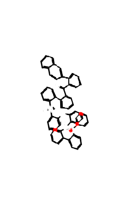 O=C(c1ccccc1-c1[c]c2ccccc2cc1)c1ccccc1-c1ccccc1S(=O)(=O)c1ccccc1Oc1ccccc1S(=O)(=O)c1ccccc1-c1ccccc1Sc1[c]cccc1